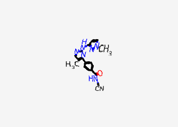 Cc1cnc(Nc2ccn(C)n2)nc1-c1ccc(C(=O)NCC#N)cc1